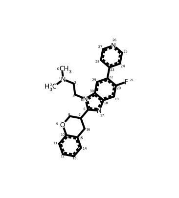 CN(C)CCn1c(C2COc3ccccc3C2)nc2cc(F)c(-c3ccncc3)cc21